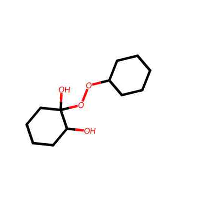 OC1CCCCC1(O)OOC1CCCCC1